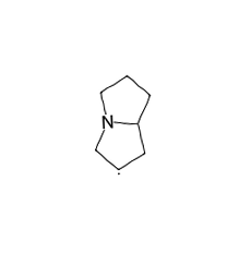 [CH]1CC2CCCN2C1